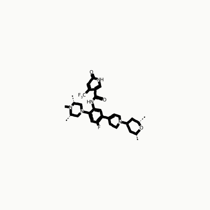 C[C@@H]1CC(N2CC=C(c3cc(NC(=O)c4c[nH]c(=O)cc4C(F)(F)F)c(N4C[C@@H](C)N(C)[C@@H](C)C4)cc3F)CC2)C[C@H](C)O1